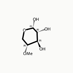 CO[C@@H]1CO[C@H](O)[C@H](O)[C@H]1O